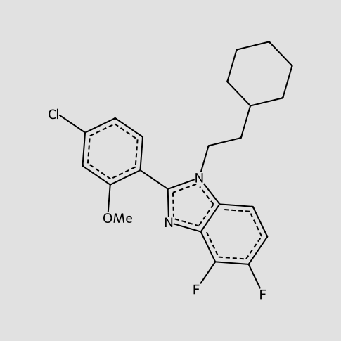 COc1cc(Cl)ccc1-c1nc2c(F)c(F)ccc2n1CCC1CCCCC1